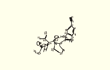 C#Cc1ccc2nc(C3CCCN3C(=O)C(NC(=O)OC)C(C)C)[nH]c2c1